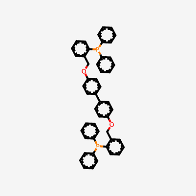 c1ccc(P(c2ccccc2)c2ccccc2COc2ccc(-c3ccc(OCc4ccccc4P(c4ccccc4)c4ccccc4)cc3)cc2)cc1